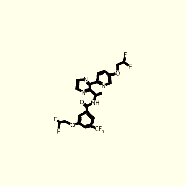 CC(NC(=O)c1cc(OCC(F)F)cc(C(F)(F)F)c1)c1nccnc1-c1ccc(OCC(F)F)cn1